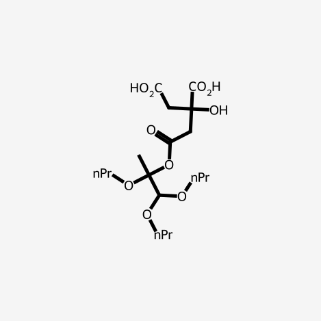 CCCOC(OCCC)C(C)(OCCC)OC(=O)CC(O)(CC(=O)O)C(=O)O